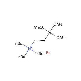 CCCC[N+](CCCC)(CCCC)CC[Si](OC)(OC)OC.[Br-]